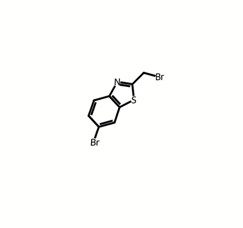 BrCc1nc2ccc(Br)cc2s1